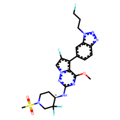 COc1nc(N[C@@H]2CCN(S(C)(=O)=O)CC2(F)F)nn2cc(F)c(-c3ccc4nnn(CCCF)c4c3)c12